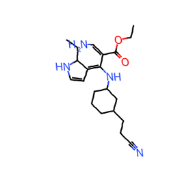 CCOC(=O)C(=C/N)/C(NC1CCCC(CCC#N)C1)=C1/C=CNC1CC